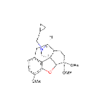 COc1ccc2c3c1OC1C(OC)(OC)CCC4[C@H](C2)N(CC2CC2)CC[C@]341